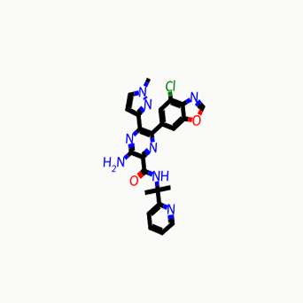 Cn1ccc(-c2nc(N)c(C(=O)NC(C)(C)c3ccccn3)nc2-c2cc(Cl)c3ncoc3c2)n1